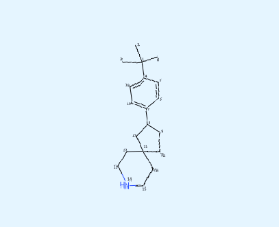 CC(C)(C)c1ccc(C2CCC3(CCNCC3)C2)cc1